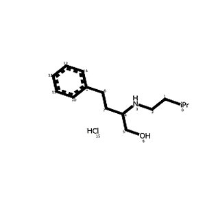 CC(C)CCNC(CO)CCc1ccccc1.Cl